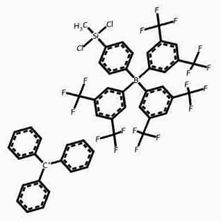 C[Si](Cl)(Cl)c1ccc([B-](c2cc(C(F)(F)F)cc(C(F)(F)F)c2)(c2cc(C(F)(F)F)cc(C(F)(F)F)c2)c2cc(C(F)(F)F)cc(C(F)(F)F)c2)cc1.c1ccc([C+](c2ccccc2)c2ccccc2)cc1